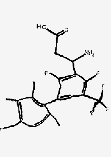 Cc1cc(F)c(C)c(C)c1-c1cc(C(F)(F)F)c(F)c(C(N)CC(=O)O)c1F